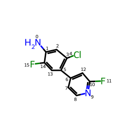 Nc1cc(Cl)c(-c2ccnc(F)c2)cc1F